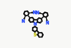 N#Cc1cccc(C#N)c1-c1ccc2c(c1)c1cc(-c3c(C#N)cccc3C#N)ccc1n2-c1ccc2sc3ccccc3c2c1